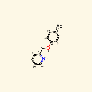 CC(=O)c1ccc(OCc2ccccn2)cc1